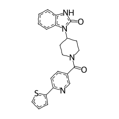 O=C(c1ccc(-c2cccs2)nc1)N1CCC(n2c(=O)[nH]c3ccccc32)CC1